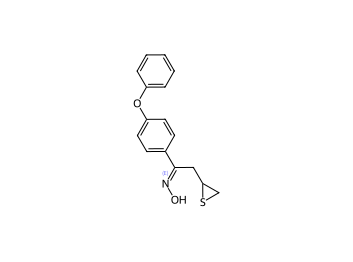 O/N=C(\CC1CS1)c1ccc(Oc2ccccc2)cc1